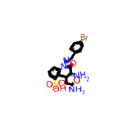 NC(=O)CC(c1ccccc1S(=O)(=O)O)[C@H](N)c1nnc(-c2ccc(Br)cc2)o1